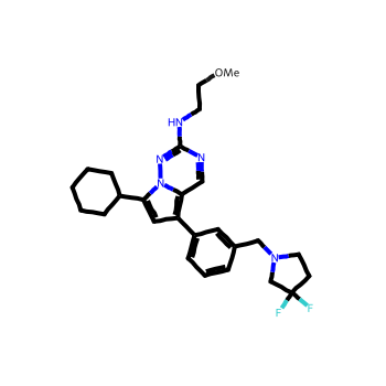 COCCNc1ncc2c(-c3cccc(CN4CCC(F)(F)C4)c3)cc(C3CCCCC3)n2n1